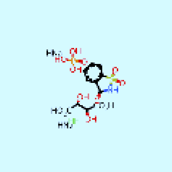 F.O=C(O)C(O)C(O)C(=O)O.O=C1NS(=O)(=O)c2ccccc21.O=P(O)(O)O.[NaH].[NaH]